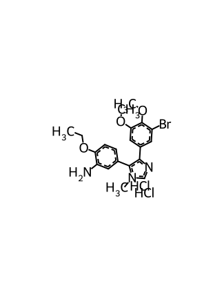 CCOc1ccc(-c2c(-c3cc(Br)c(OC)c(OC)c3)ncn2C)cc1N.Cl.Cl